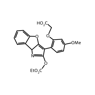 CCOC(=O)OC1=NC2C(=C1c1ccc(OC)cc1OCC(=O)O)Oc1ccccc12